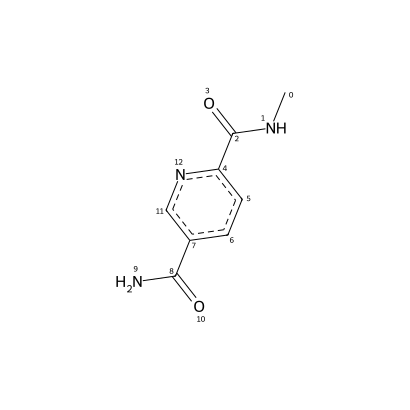 CNC(=O)c1ccc(C(N)=O)cn1